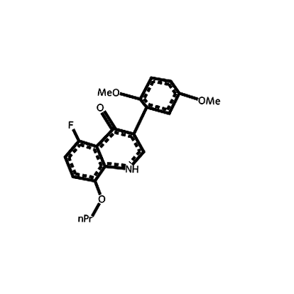 CCCOc1ccc(F)c2c(=O)c(-c3cc(OC)ccc3OC)c[nH]c12